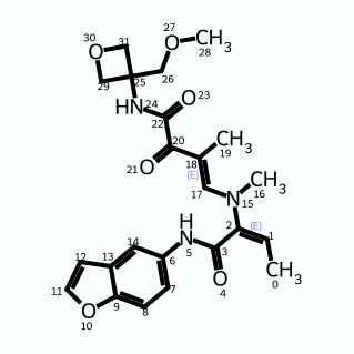 C/C=C(\C(=O)Nc1ccc2occc2c1)N(C)/C=C(\C)C(=O)C(=O)NC1(COC)COC1